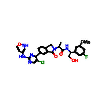 COc1cc(F)cc([C@@H](CO)NC(=O)C(C)N2Cc3ccc(-c4nc(NC5=CNOC=C5)ncc4Cl)cc3C2=O)c1